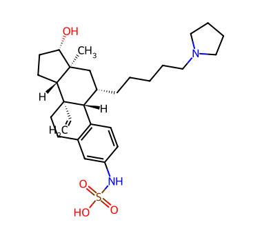 C=C[C@@]12CCc3cc(NS(=O)(=O)O)ccc3[C@H]1[C@@H](CCCCCN1CCCC1)C[C@@]1(C)[C@H]2CC[C@@H]1O